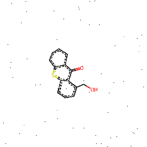 O=c1c2ccccc2sc2cccc(CO)c12